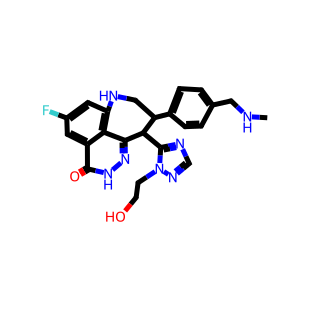 CNCc1ccc(C2CNc3cc(F)cc4c(=O)[nH]nc(c34)C2c2ncnn2CCO)cc1